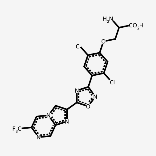 NC(COc1cc(Cl)c(-c2noc(-c3cn4cc(C(F)(F)F)ncc4n3)n2)cc1Cl)C(=O)O